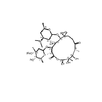 CC[C@H]1OC(=O)[C@H](C)[C@@H](OC2C[C@@](C)(OC)[C@@H](O)[C@H](C)O2)[C@H](C)[C@@H](OC2O[C@H](C)C[C@H](N(C)C)[C@H]2O)[C@@](C)(OC)CCC(=O)[C@H](C)[C@@H](O)[C@]1(C)O